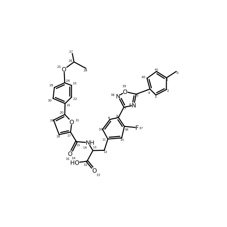 Cc1ccc(-c2nc(-c3ccc(CC(NC(=O)c4ccc(-c5ccc(OC(C)C)cc5)o4)C(=O)O)cc3F)no2)cc1